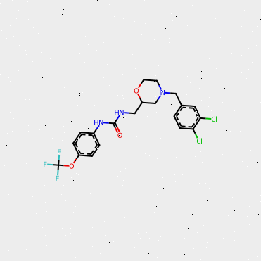 O=C(NCC1CN(Cc2ccc(Cl)c(Cl)c2)CCO1)Nc1ccc(OC(F)(F)F)cc1